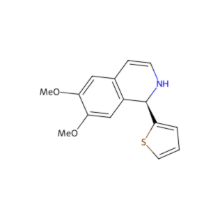 COc1cc2c(cc1OC)[C@H](c1cccs1)NC=C2